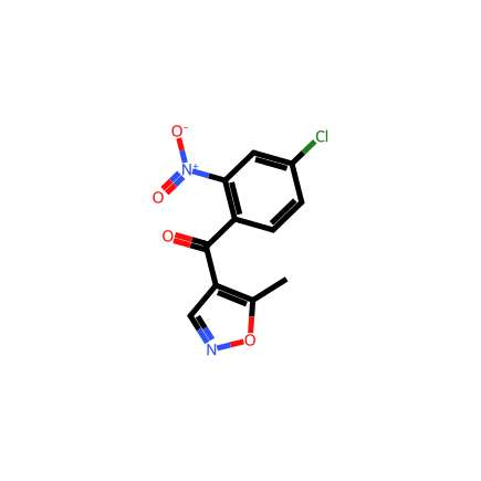 Cc1oncc1C(=O)c1ccc(Cl)cc1[N+](=O)[O-]